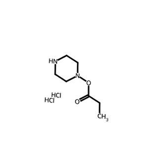 CCC(=O)ON1CCNCC1.Cl.Cl